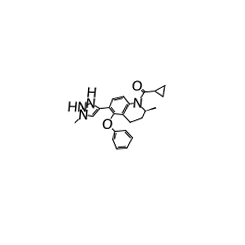 C[C@H]1CCc2c(ccc(C3=CN(C)NN3)c2Oc2ccccc2)N1C(=O)C1CC1